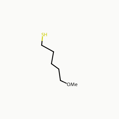 COCCCCCS